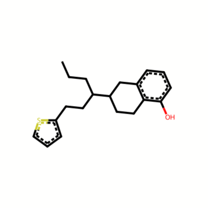 CCCC(CCc1cccs1)C1CCc2c(O)cccc2C1